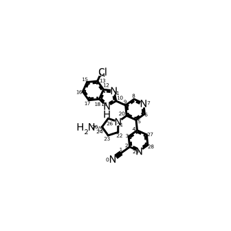 N#Cc1cc(-c2cncc(-c3nc4c(Cl)cccc4[nH]3)c2N2CC[C@H](N)C2)ccn1